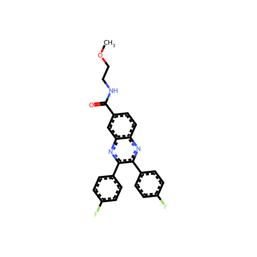 COCCNC(=O)c1ccc2nc(-c3ccc(F)cc3)c(-c3ccc(F)cc3)nc2c1